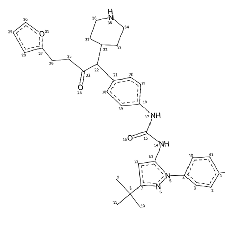 Cc1ccc(-n2nc(C(C)(C)C)cc2NC(=O)Nc2ccc(C(C(=O)CCc3ccco3)C3CCNCC3)cc2)cc1